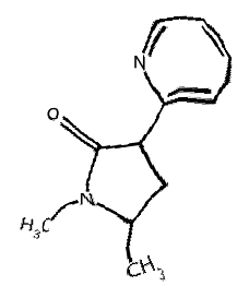 CC1CC(c2ccccn2)C(=O)N1C